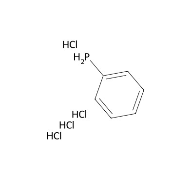 Cl.Cl.Cl.Cl.Pc1ccccc1